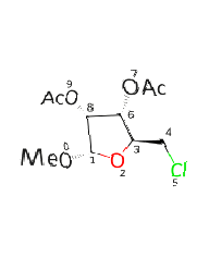 CO[C@H]1O[C@H](CCl)[C@@H](OC(C)=O)[C@H]1OC(C)=O